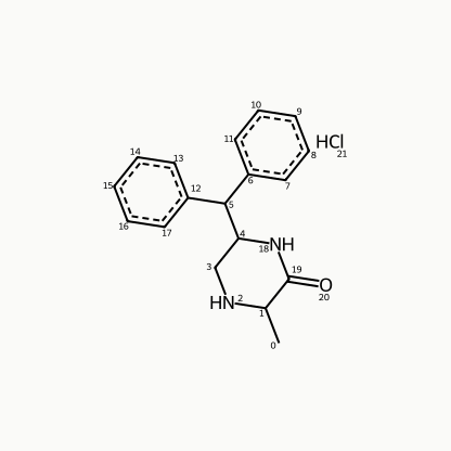 CC1NCC(C(c2ccccc2)c2ccccc2)NC1=O.Cl